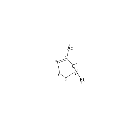 CCN1CCC=C(C(C)=O)C1